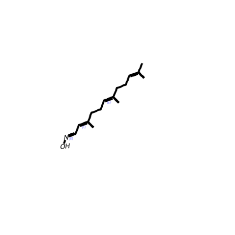 CC(C)=CCC/C(C)=C/CC/C(C)=C/C=N/O